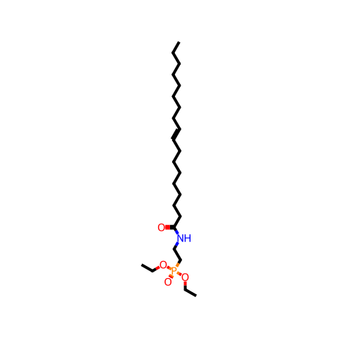 CCCCCCCC/C=C/CCCCCCCC(=O)NCCP(=O)(OCC)OCC